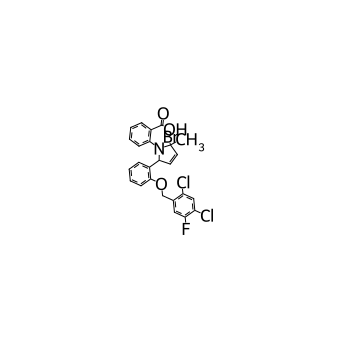 CC1(Br)C=CC(c2ccccc2OCc2cc(F)c(Cl)cc2Cl)N1c1ccccc1C(=O)O